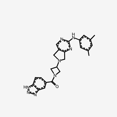 Cc1cc(C)cc(Nc2ncc3c(n2)CN(C2CN(C(=O)c4ccc5[nH]nnc5c4)C2)C3)c1